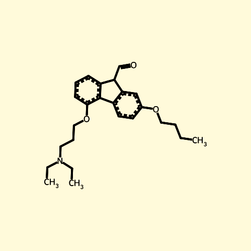 CCCCOc1ccc2c(c1)C(C=O)c1cccc(OCCCN(CC)CC)c1-2